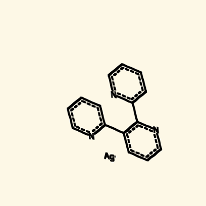 [Ag].c1ccc(-c2cccnc2-c2ccccn2)nc1